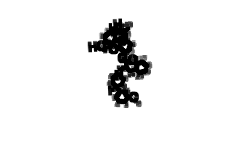 COc1cccc(C2(F)CCN(CC(Cc3ccccc3)C(=O)Oc3ccc4c5c3O[C@H]3[C@@H](O)C=C[C@H]6[C@@H](C4)N(C)CC[C@@]563)CC2)c1